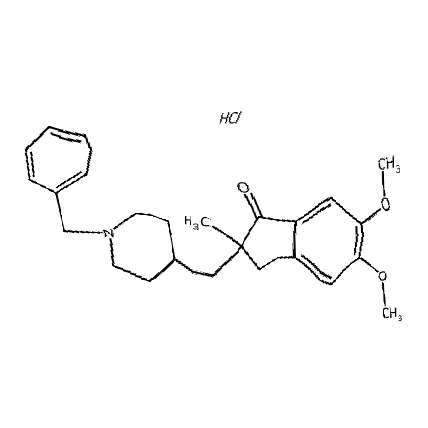 COc1cc2c(cc1OC)C(=O)C(C)(CC1CCN(Cc3ccccc3)CC1)C2.Cl